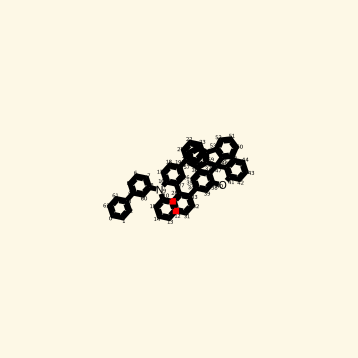 c1ccc(-c2cccc(N(c3ccccc3)c3ccc(-c4ccccc4)cc3-c3ccccc3-c3ccc4c(c3)Oc3ccccc3C43c4ccccc4-c4ccccc43)c2)cc1